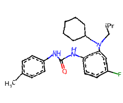 Cc1ccc(NC(=O)Nc2ccc(F)cc2N(CC(C)C)C2CCCCC2)cc1